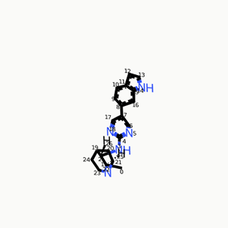 C[C@@H]1[C@@H](Nc2ncc(-c3ccc4cc[nH]c4c3)cn2)C2CCN1CC2